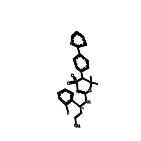 CC1(C)OC(N[C@@H](CCO)c2ccccc2F)=NS(=O)(=O)C1c1ccc(-c2ccccn2)cc1